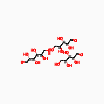 O=C[C@H](O)[C@@H](O)[C@@H](O)CO.O=C[C@H](O)[C@@H](O)[C@H](O)CO.O=C[C@H](O)[C@@H](O)[C@H](O)[C@H](O)CO